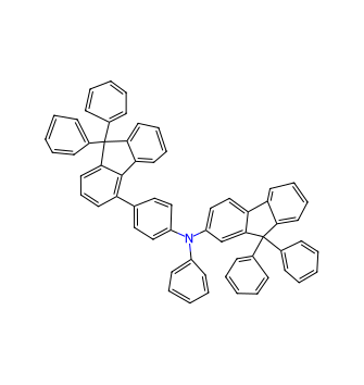 c1ccc(N(c2ccc(-c3cccc4c3-c3ccccc3C4(c3ccccc3)c3ccccc3)cc2)c2ccc3c(c2)C(c2ccccc2)(c2ccccc2)c2ccccc2-3)cc1